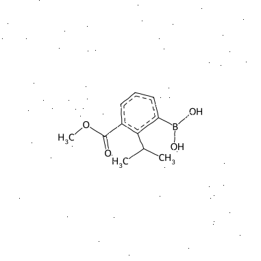 COC(=O)c1cccc(B(O)O)c1C(C)C